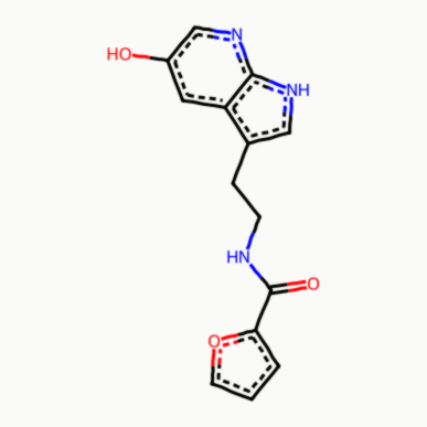 O=C(NCCc1c[nH]c2ncc(O)cc12)c1ccco1